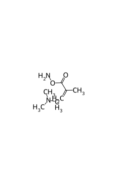 C=C(C)C(=O)ON.CN(C)C